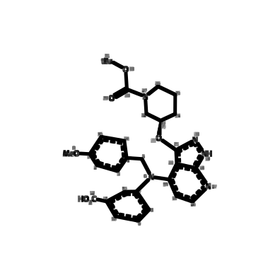 COc1ccc(CN(c2cccc(C(=O)O)c2)c2ccnc3[nH]nc(O[C@@H]4CCCN(C(=O)OC(C)(C)C)C4)c23)cc1